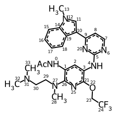 CC(=O)Nc1cc(Nc2nccc(-c3cn(C)c4ccccc34)n2)c(OCC(F)(F)F)nc1N(C)CCN(C)C